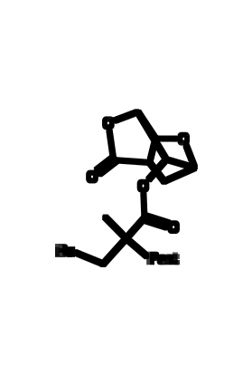 CCCC(C)C(C)(CC(C)CC)C(=O)OC1C2CC3C(=O)OC1C3O2